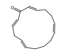 O=C1/C=C/C/C=C/CCC/C=C\CC/C=C/1